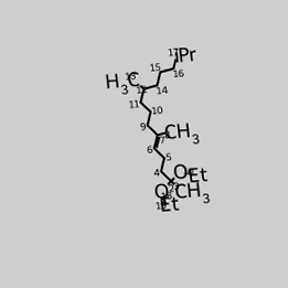 CCOC(C)(CC/C=C(\C)CCCC(C)CCCC(C)C)OCC